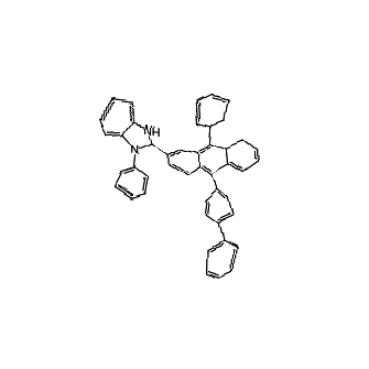 C1=CCC(C2=c3cc(C4Nc5ccccc5N4c4ccccc4)ccc3=C(c3ccc(-c4ccccc4)cc3)C3=CC=CCC32)C=C1